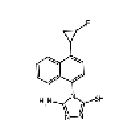 Nc1nnc(S)n1-c1ccc(C2CC2F)c2ccccc12